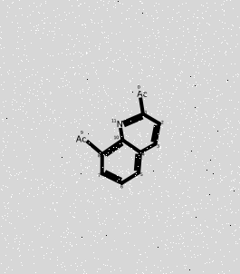 CC(=O)c1ccc2cccc(C(C)=O)c2n1